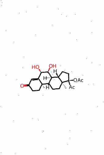 CC(=O)O[C@]1(C(C)=O)CC[C@H]2[C@@H]3[C@H](O)[C@H](O)C4=CC(=O)CC[C@]4(C)[C@H]3CC[C@@]21C